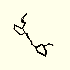 COCC1CCCN1N=CCCc1cccc(OC)c1